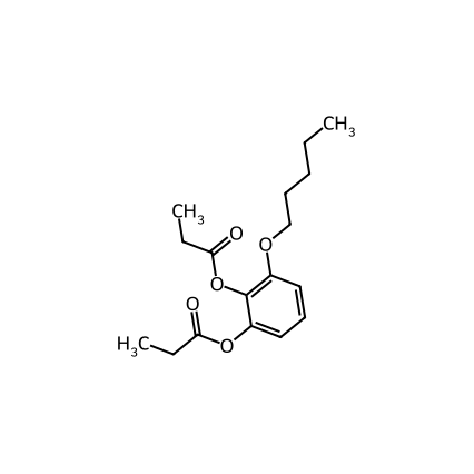 CCCCCOc1cccc(OC(=O)CC)c1OC(=O)CC